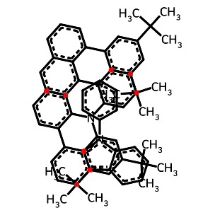 CC(C)(C)c1cc(-c2cccc3cccc(-c4ccccc4N(c4cc(C(C)(C)C)cc(C(C)(C)C)c4)c4ccccc4-c4cccc5c6ccccc6n(-c6ccccc6)c45)c23)cc(C(C)(C)C)c1